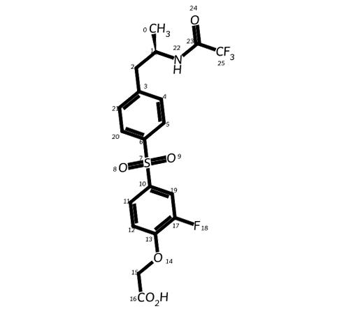 C[C@H](Cc1ccc(S(=O)(=O)c2ccc(OCC(=O)O)c(F)c2)cc1)NC(=O)C(F)(F)F